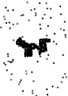 COc1ccc2ncc(F)c(CCN3CC[C@H](NCc4cc5c(cn4)OCS5)C(O)C3)c2n1.Cl.Cl